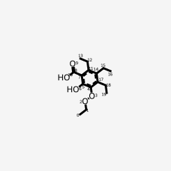 CCOOc1c(O)c(C(=O)O)c(CC)c(CC)c1CC